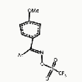 COc1ccc(/C(=N/OS(=O)(=O)C(F)(F)F)C(C)=O)cc1